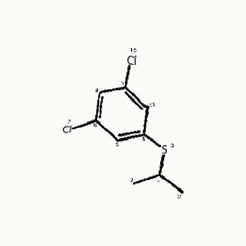 CC(C)Sc1cc(Cl)cc(Cl)c1